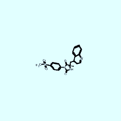 C[C@@]1(Cc2ccnc3ccccc23)NC(=O)N(c2ccc(S(=O)(=O)C(F)(F)F)cc2)C1=O